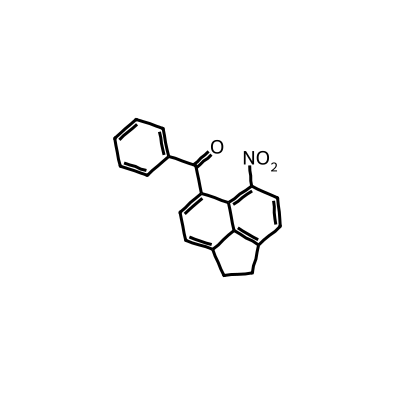 O=C(c1ccccc1)c1ccc2c3c(ccc([N+](=O)[O-])c13)CC2